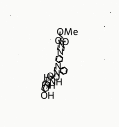 COCCS(=O)(=O)N1CCN(c2ccc(N3CCN(OC(=O)NC4[C@@H]5CC6C[C@H]4CC(O)(C6)C5)c4ccccc43)cc2)CC1